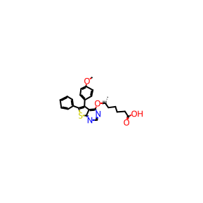 COc1ccc(-c2c(-c3ccccc3)sc3ncnc(O[C@H](C)CCCCC(=O)O)c23)cc1